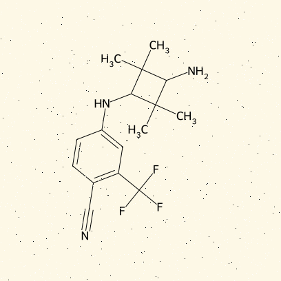 CC1(C)C(N)C(C)(C)C1Nc1ccc(C#N)c(C(F)(F)F)c1